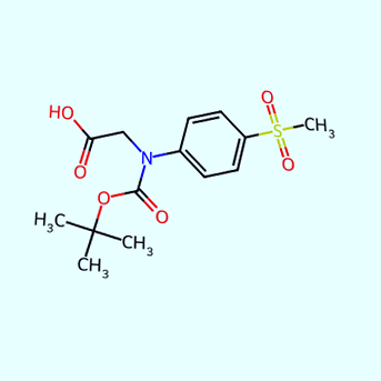 CC(C)(C)OC(=O)N(CC(=O)O)c1ccc(S(C)(=O)=O)cc1